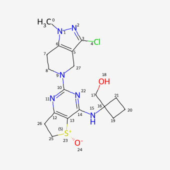 Cn1nc(Cl)c2c1CCN(c1nc3c(c(NC4(CO)CCC4)n1)[S@+]([O-])CC3)C2